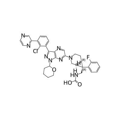 O=C(O)NC[C@]1(c2ccccc2F)[C@@H]2CCN(c3cnc4c(-c5cccc(-c6cnccn6)c5Cl)nn(C5CCCCO5)c4n3)C[C@@H]21